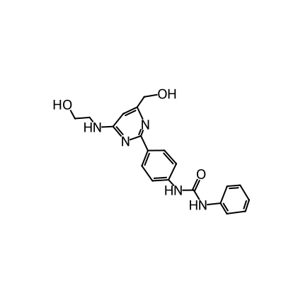 O=C(Nc1ccccc1)Nc1ccc(-c2nc(CO)cc(NCCO)n2)cc1